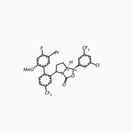 COc1cc(F)c(C(C)C)cc1-c1ccc(C(F)(F)F)cc1C1CC[C@H]2[C@@H](c3cc(Cl)cc(C(F)(F)F)c3)OC(=O)N12